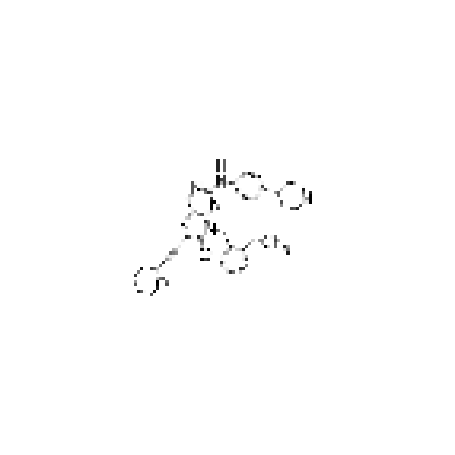 CN1CCC(c2ccc(Nc3ncc4cc(C#CC5CCCCO5)c(=O)n(Cc5ccccc5CC(F)(F)F)c4n3)cc2)CC1